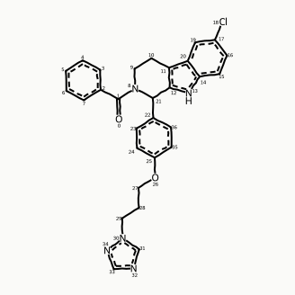 O=C(c1ccccc1)N1CCc2c([nH]c3ccc(Cl)cc23)C1c1ccc(OCCCn2cncn2)cc1